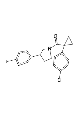 O=C(N1CCC(c2ccc(F)cc2)C1)C1(c2ccc(Cl)cc2)CC1